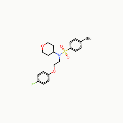 CC(C)(C)c1ccc(S(=O)(=O)N(CCOc2ccc(F)cc2)C2CCOCC2)cc1